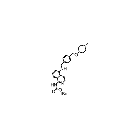 CN1CCC(OCc2ccc(CNc3cccc4c(NC(=O)OC(C)(C)C)nccc34)cc2)CC1